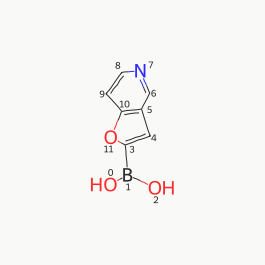 OB(O)c1cc2cnccc2o1